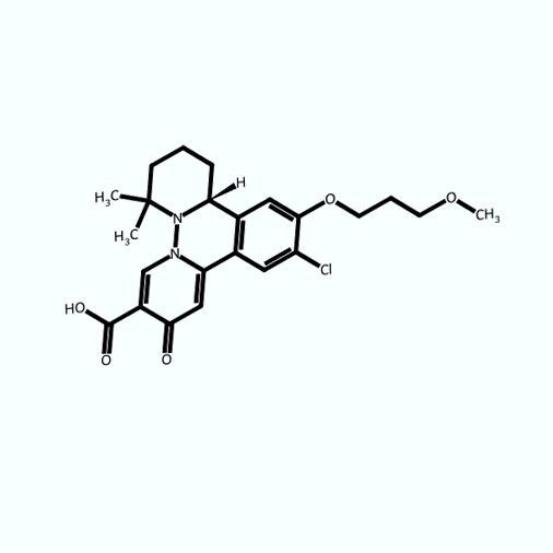 COCCCOc1cc2c(cc1Cl)-c1cc(=O)c(C(=O)O)cn1N1[C@@H]2CCCC1(C)C